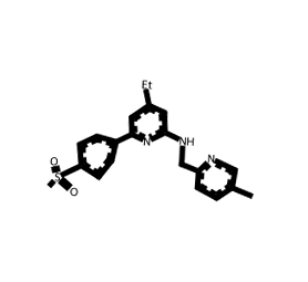 CCc1cc(NCc2ccc(C)cn2)nc(-c2ccc(S(C)(=O)=O)cc2)c1